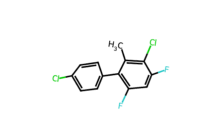 Cc1c(Cl)c(F)cc(F)c1-c1ccc(Cl)cc1